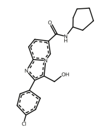 O=C(NC1CCCCC1)c1ccc2nc(-c3ccc(Cl)cc3)c(CO)n2c1